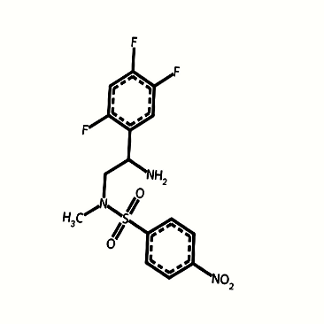 CN(CC(N)c1cc(F)c(F)cc1F)S(=O)(=O)c1ccc([N+](=O)[O-])cc1